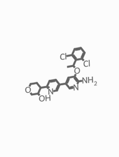 CC(Oc1cc(-c2ccc(C3CCOCC3O)nc2)cnc1N)c1c(Cl)cccc1Cl